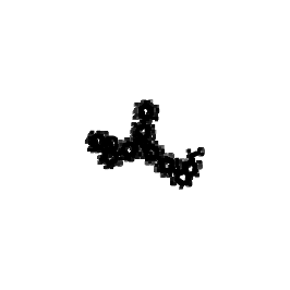 CCc1ccc2cccc(-c3ccc(-c4ccc(N(c5ccc(-c6ccccc6)cc5)c5ccc(-c6cccc7c6oc6ccccc67)cc5)cc4)cc3)c2c1